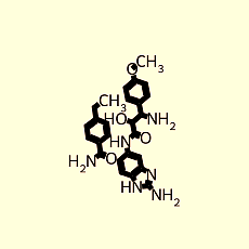 CCc1ccc(C(N)=O)cc1.COc1ccc(C(N)C(O)C(=O)Nc2ccc3[nH]c(N)nc3c2)cc1